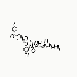 NN=CNCCC[C@H](N)C(=O)Nc1cc(Cl)ccc1OCC(=O)N1CCC(C(=O)c2ccc(F)cc2)CC1